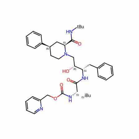 CC[C@H](C)[C@H](NC(=O)OCc1ccccn1)C(=O)N[C@@H](Cc1ccccc1)[C@H](O)CN1CC[C@@H](c2ccccc2)C[C@H]1C(=O)NC(C)(C)C